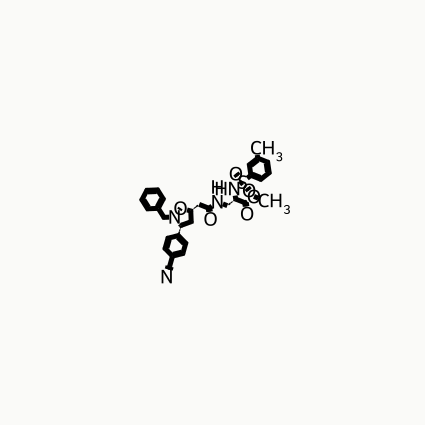 COC(=O)[C@H](CNC(=O)C[C@@H]1C[C@H](c2ccc(C#N)cc2)N(Cc2ccccc2)O1)NS(=O)(=O)c1cccc(C)c1